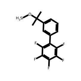 CC(C)(O[SiH3])c1cccc(-c2c(F)c(F)c(F)c(F)c2F)c1